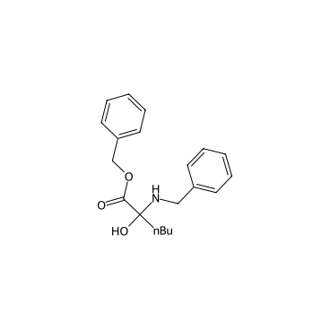 CCCCC(O)(NCc1ccccc1)C(=O)OCc1ccccc1